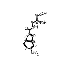 Nc1ccc2oc(C(=O)NCC(O)CO)cc2c1